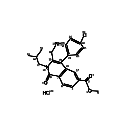 COC(=O)c1ccc2c(=O)n(CC(C)C)c(CN)c(-c3ccc(Cl)cc3)c2c1.Cl